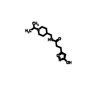 CC(C)N1CCC(CNC(=O)CCc2cc(O)no2)CC1